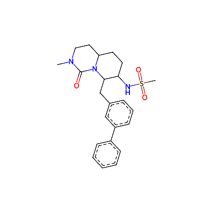 CN1CCC2CCC(NS(C)(=O)=O)C(Cc3cccc(-c4ccccc4)c3)N2C1=O